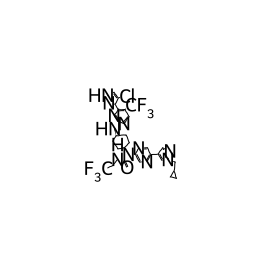 O=C(NCC(F)(F)F)N(c1cnc(-c2cnn(CC3CC3)c2)cn1)[C@H]1CC[C@H](Nc2ncc(C(F)(F)F)c(-c3n[nH]cc3Cl)n2)CC1